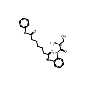 N[C@@H](CO)C(=O)Nc1ccccc1NC(=O)CCCCCC(=O)Nc1ccccc1